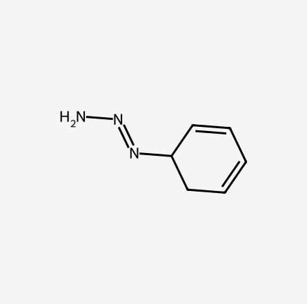 NN=NC1C=CC=CC1